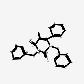 Cc1c(-c2ccccc2)n(Cc2ccccc2)c(=O)n(Cc2ccccc2)c1=O